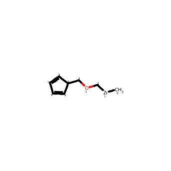 [CH3][Zr][CH2]OCC1C=CC=C1